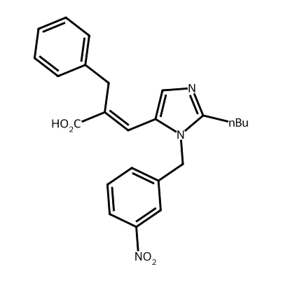 CCCCc1ncc(/C=C(\Cc2ccccc2)C(=O)O)n1Cc1cccc([N+](=O)[O-])c1